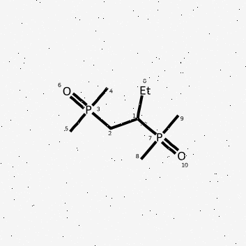 CCC(CP(C)(C)=O)P(C)(C)=O